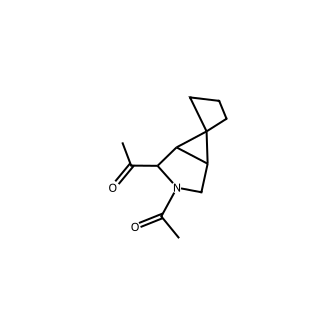 CC(=O)C1C2C(CN1C(C)=O)C21CCC1